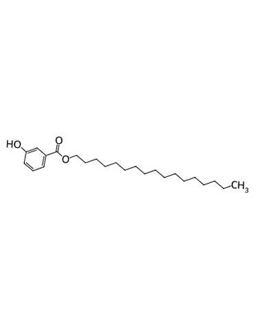 CCCCCCCCCCCCCCCCCOC(=O)c1cccc(O)c1